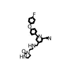 N#Cc1cc(CNCCN2CCNC2=O)cc(-c2ccc(Oc3ccc(F)cc3)cc2)n1